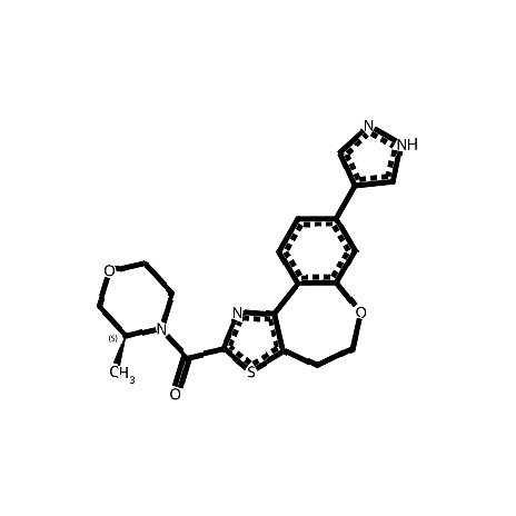 C[C@H]1COCCN1C(=O)c1nc2c(s1)CCOc1cc(-c3cn[nH]c3)ccc1-2